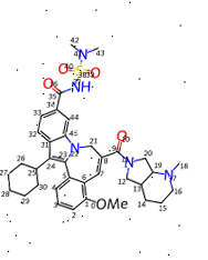 COc1cccc2c1C=C(C(=O)N1CC3CCCN(C)C3C1)Cn1c-2c(C2CCCCC2)c2ccc(C(=O)NS(=O)(=O)N(C)C)cc21